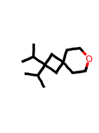 CC(C)C1(C(C)C)CC2(CCOCC2)C1